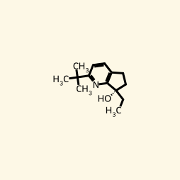 CC[C@]1(O)CCc2ccc(C(C)(C)C)nc21